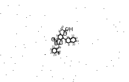 CC(Cc1cc(-c2ccc3ccccc3c2)c(OCCc2ccccc2F)c([N+](=O)[O-])c1)C(=O)O